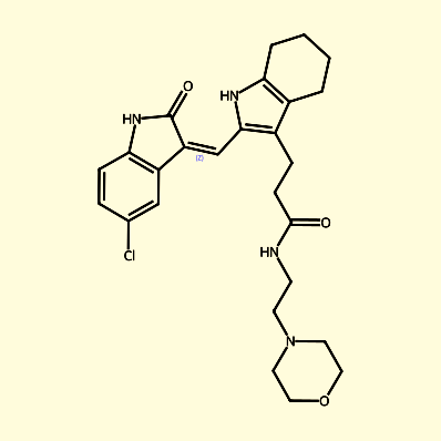 O=C(CCc1c(/C=C2\C(=O)Nc3ccc(Cl)cc32)[nH]c2c1CCCC2)NCCN1CCOCC1